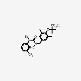 CCOC(=O)C(C)(C)Oc1c(C)cc(CN(C=O)C(=O)N(CC)c2cccc(C(F)(F)F)c2)cc1C